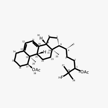 CC(=O)OC(CC[C@@H](C)[C@H]1CC[C@H]2C3=CC=C4CCC[C@H](OC(C)=O)[C@]4(C)[C@H]3CC[C@]12C)C(C)(C)F